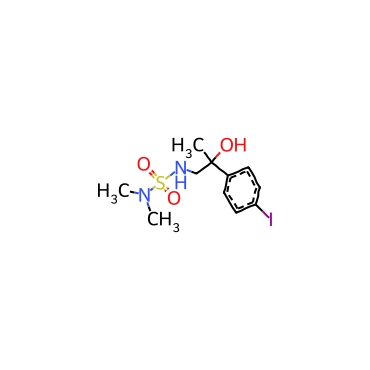 CN(C)S(=O)(=O)NCC(C)(O)c1ccc(I)cc1